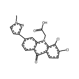 Cn1ccc(-c2ccc3c(=O)c4ccc(Cl)c(Cl)c4n(CC(=O)O)c3c2)n1